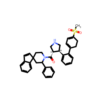 CS(=O)(=O)C1=CC=C(c2ccccc2[C@@H]2CNC[C@H]2C(=O)N2CCC3(C=Cc4ccccc43)CC2c2ccccc2)CC1